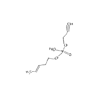 C#CCOP(=O)(O)OCCC=CC